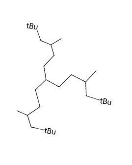 CC(CCC(CCC(C)CC(C)(C)C)CCC(C)CC(C)(C)C)CC(C)(C)C